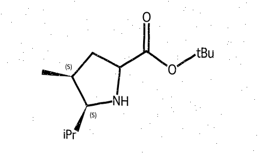 CC(C)[C@@H]1NC(C(=O)OC(C)(C)C)C[C@@H]1C